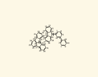 c1ccc(-c2cccc(-n3c4ccccc4c4c(-c5cccc6c7cccc8c9ccccc9n(c56)c87)cccc43)c2)cc1